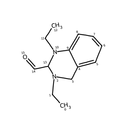 CCN1Cc2ccccc2N(CC)C1C=O